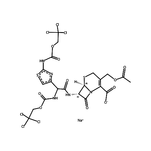 CC(=O)OCC1=C(C(=O)[O-])N2C(=O)[C@H](NC(=O)C(NC(=O)OCC(Cl)(Cl)Cl)c3csc(NC(=O)OCC(Cl)(Cl)Cl)n3)[C@H]2SC1.[Na+]